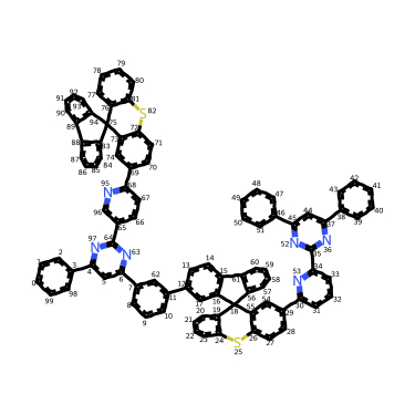 c1ccc(-c2cc(-c3cccc(-c4ccc5c(c4)C4(c6ccccc6Sc6ccc(-c7cccc(-c8nc(-c9ccccc9)cc(-c9ccccc9)n8)n7)cc64)c4ccccc4-5)c3)nc(-c3ccc(-c4ccc5c(c4)C4(c6ccccc6S5)c5ccccc5-c5ccccc54)nc3)n2)cc1